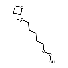 C1COO1.CCCCCCOOO